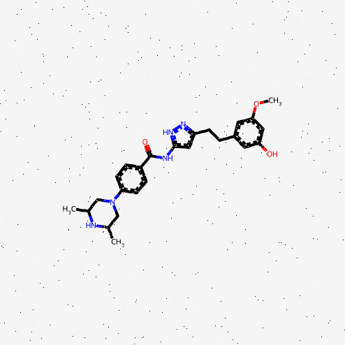 COc1cc(O)cc(CCc2cc(NC(=O)c3ccc(N4CC(C)NC(C)C4)cc3)[nH]n2)c1